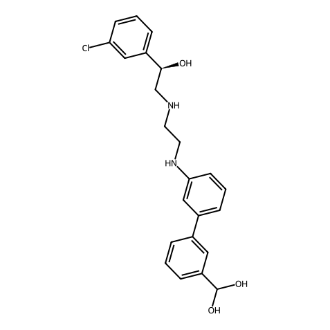 OC(O)c1cccc(-c2cccc(NCCNC[C@H](O)c3cccc(Cl)c3)c2)c1